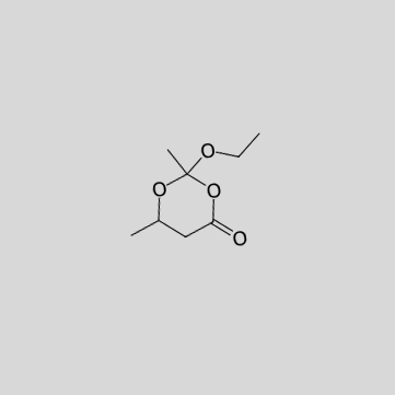 CCOC1(C)OC(=O)CC(C)O1